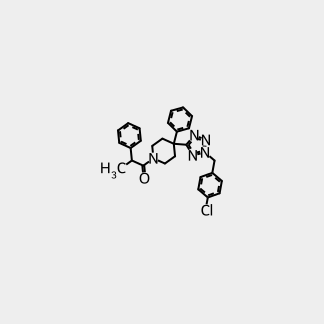 CC(C(=O)N1CCC(c2ccccc2)(c2nnn(Cc3ccc(Cl)cc3)n2)CC1)c1ccccc1